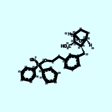 CC(C)(C)[Si](OCCc1cccc(C[C@@H]2[C@H](C(=O)O)[C@H]3CC[C@@H]2O3)c1)(c1ccccc1)c1ccccc1